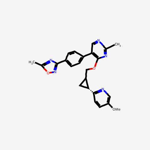 COc1ccc([C@@H]2CC2COc2nc(C)ncc2-c2ccc(-c3noc(C)n3)cc2)nc1